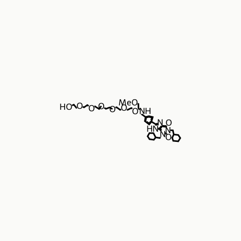 COCC(NCc1ccc(-c2nc3c(=O)n(CC4CCCCC4)c(=O)n(CC4CCCCC4)c3[nH]2)cc1)OCCOCCOCCOCCOCCOCCO